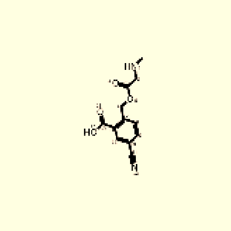 CNCC(=O)OCc1ccc(C#N)cc1C(=O)O